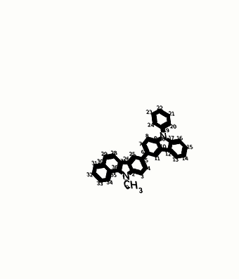 Cn1c2ccc(-c3ccc4c(c3)c3ccccc3n4-c3ccccc3)cc2c2ccc3ccccc3c21